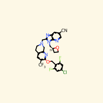 N#Cc1cnc2c(c1)nc(CN1CCc3cc(C(F)(F)F)c(OCc4c(F)cc(Cl)cc4F)nc3C1)n2C[C@@H]1CCO1